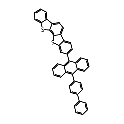 c1ccc(-c2ccc(-c3c4ccccc4c(-c4ccc5c(c4)sc4c5ccc5c6ccccc6sc54)c4ccccc34)cc2)cc1